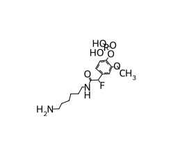 COc1cc(C(F)C(=O)NCCCCCCN)ccc1OP(=O)(O)O